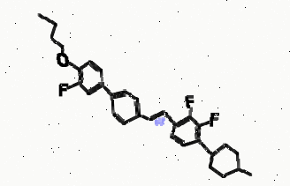 CCCCOc1ccc(-c2ccc(/C=C/c3ccc(C4CCC(C)CC4)c(F)c3F)cc2)cc1F